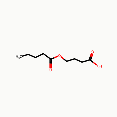 CCCCC(=O)OCCCC(=O)O